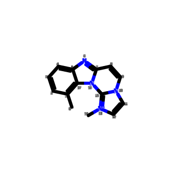 Cc1cccc2nc3ccn4cc[n+](C)c4n3c12